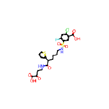 O=C(O)C(=O)CCNC(=O)C(CCCCNS(=O)(=O)c1cc(C(=O)O)c(Cl)cc1F)c1cccs1